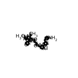 CCc1nc2c(cnn2CC)c(NC2CCOCC2)c1CNC(=O)CCC(=O)NCc1ccc(Cl)c(-c2cccc(CN3CC[C@H](N)C3)c2)c1